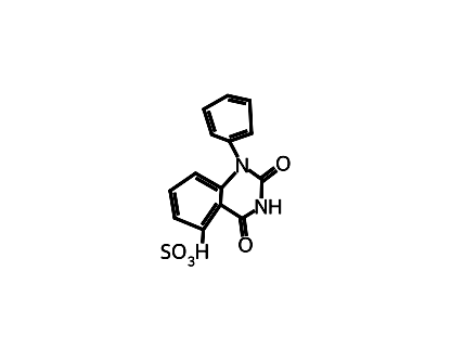 O=c1[nH]c(=O)n(-c2ccccc2)c2cccc(S(=O)(=O)O)c12